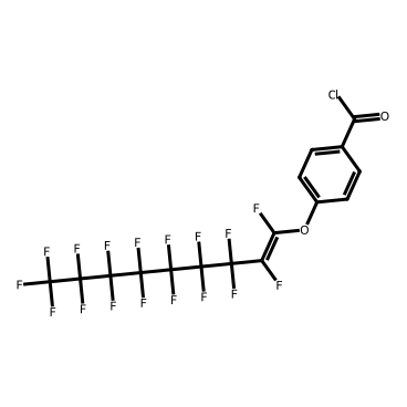 O=C(Cl)c1ccc(OC(F)=C(F)C(F)(F)C(F)(F)C(F)(F)C(F)(F)C(F)(F)C(F)(F)C(F)(F)F)cc1